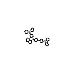 c1ccc(N(c2ccccc2)c2ccc(N(c3ccc(-c4ccc(-n5c6ccccc6c6ccccc65)cc4)cc3)c3cccc4ccccc34)cc2)cc1